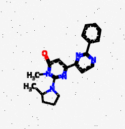 CC1CCCN1c1nc(-c2ccnc(-c3ccccc3)n2)cc(=O)n1C